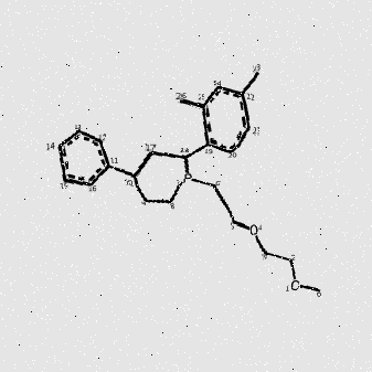 COCCOCCP1CCC(c2ccccc2)CC1c1ccc(C)cc1C